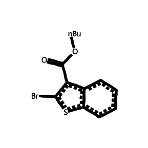 CCCCOC(=O)c1c(Br)sc2ccccc12